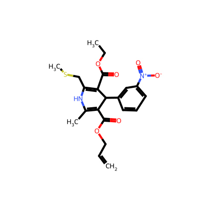 C=CCOC(=O)C1=C(C)NC(CSC)=C(C(=O)OCC)C1c1cccc([N+](=O)[O-])c1